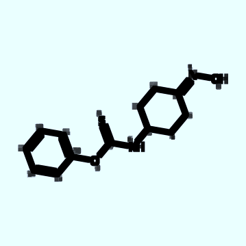 ON=C1CCC(NC(=S)Oc2ccccc2)CC1